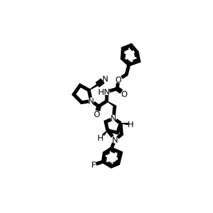 N#C[C@@H]1CCCN1C(=O)[C@H](CN1C[C@@H]2C[C@H]1CN2c1cccc(F)c1)NC(=O)OCc1ccccc1